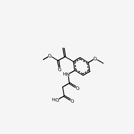 C=C(C(=O)OC)c1cc(OC)ccc1NC(=O)CC(=O)O